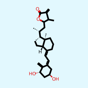 C=C1C(=O)OC(C[C@@H](C)[C@H]2CC[C@H]3/C(=C/C=C4/C[C@@H](O)C[C@H](O)C4=C)CCC[C@]23C)C1C